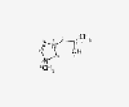 CC(O)CN1C=CN(C)C1